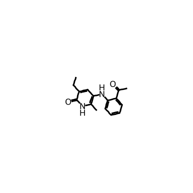 CCc1cc(Nc2ccccc2C(C)=O)c(C)[nH]c1=O